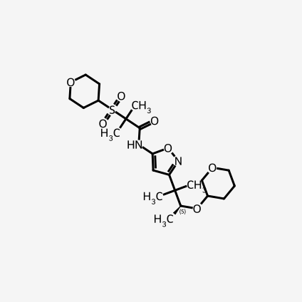 C[C@H](OC1CCCOC1)C(C)(C)c1cc(NC(=O)C(C)(C)S(=O)(=O)C2CCOCC2)on1